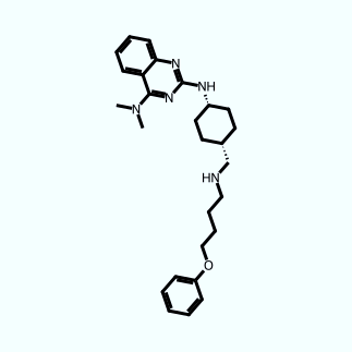 CN(C)c1nc(N[C@H]2CC[C@@H](CNCCCCOc3ccccc3)CC2)nc2ccccc12